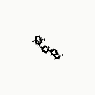 C[N@+]1([O-])[C@@H]2CC[C@H]1C[C@@H](Oc1ccc(-c3ccc4[nH]ccc4c3)nc1)C2